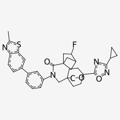 Cc1nc2ccc(-c3cccc(N(CC45CCC(c6nc(C7CC7)no6)(CC4)OC5)C(=O)C45CC(F)C(C4)C5)c3)cc2s1